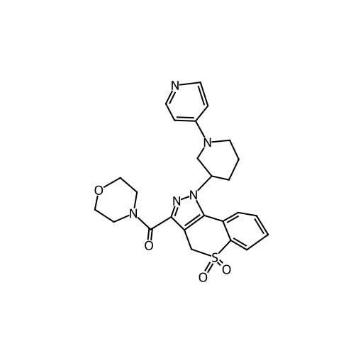 O=C(c1nn(C2CCCN(c3ccncc3)C2)c2c1CS(=O)(=O)c1ccccc1-2)N1CCOCC1